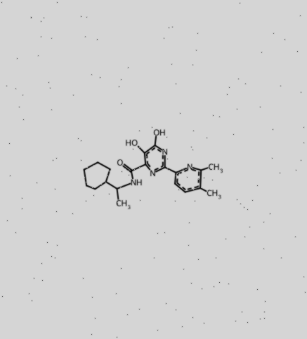 Cc1ccc(-c2nc(O)c(O)c(C(=O)NC(C)C3CCCCC3)n2)nc1C